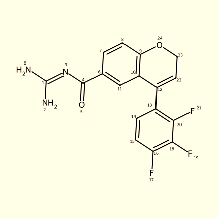 NC(N)=NC(=O)c1ccc2c(c1)C(c1ccc(F)c(F)c1F)=CCO2